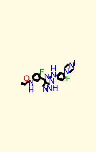 C=CC(=O)Nc1ccc(F)c(-c2nc(Nc3ccc(F)c(N4CCN(I)CC4)c3)nc3[nH]ncc23)c1